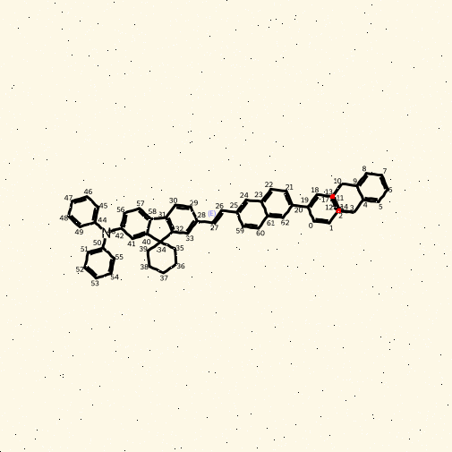 C1=CC2C3c4ccccc4C(c4ccccc43)C2C=C1c1ccc2cc(/C=C/c3ccc4c(c3)C3(CCCCC3)c3cc(N(c5ccccc5)c5ccccc5)ccc3-4)ccc2c1